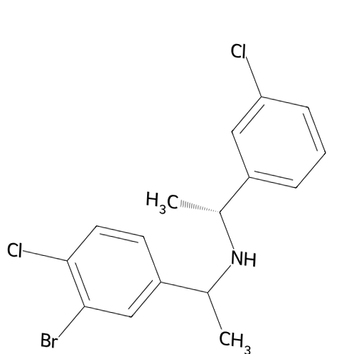 CC(N[C@H](C)c1cccc(Cl)c1)c1ccc(Cl)c(Br)c1